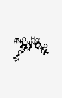 CCNC(=O)c1cn(COCC[Si](C)(C)C)c2ncc(N[C@H]3CCN(C(=O)OC(C)(C)C)C[C@@H]3OC)nc12